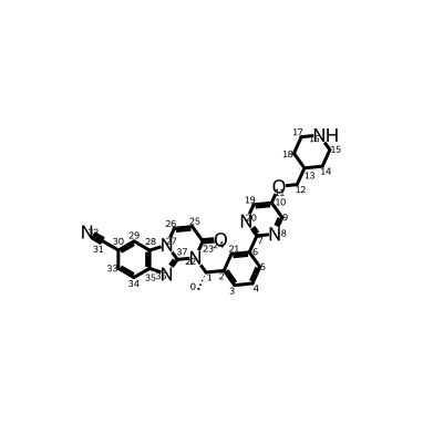 C[C@@H](c1cccc(-c2ncc(OCC3CCNCC3)cn2)c1)n1c(=O)ccn2c3cc(C#N)ccc3nc12